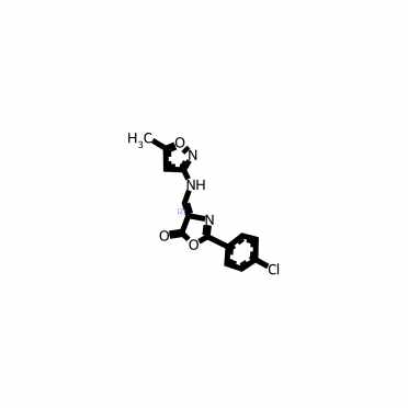 Cc1cc(N/C=C2\N=C(c3ccc(Cl)cc3)OC2=O)no1